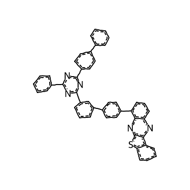 c1ccc(-c2ccc(-c3nc(-c4ccccc4)nc(-c4cccc(-c5ccc(-c6cccc7nc8c(nc67)sc6ccccc68)cc5)c4)n3)cc2)cc1